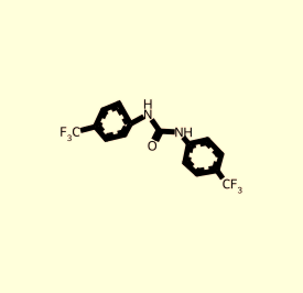 O=C(Nc1ccc(C(F)(F)F)cc1)Nc1ccc(C(F)(F)F)cc1